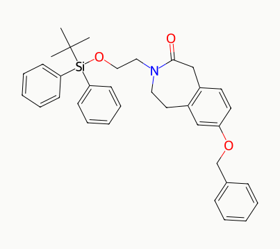 CC(C)(C)[Si](OCCN1CCc2cc(OCc3ccccc3)ccc2CC1=O)(c1ccccc1)c1ccccc1